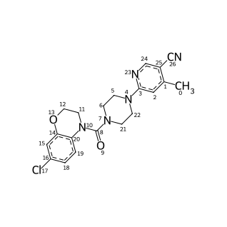 Cc1cc(N2CCN(C(=O)N3CCOc4cc(Cl)ccc43)CC2)ncc1C#N